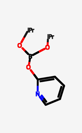 CC(C)OB(Oc1ccccn1)OC(C)C